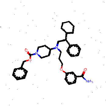 NC(=O)c1cccc(OCCCN(CC(c2ccccc2)C2CCCCC2)C2CCN(C(=O)OCc3ccccc3)CC2)c1